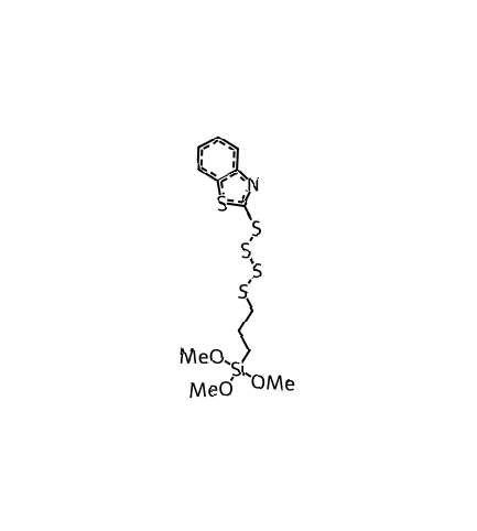 CO[Si](CCCSSSSc1nc2ccccc2s1)(OC)OC